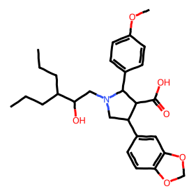 CCCC(CCC)C(O)CN1CC(c2ccc3c(c2)OCO3)C(C(=O)O)C1c1ccc(OC)cc1